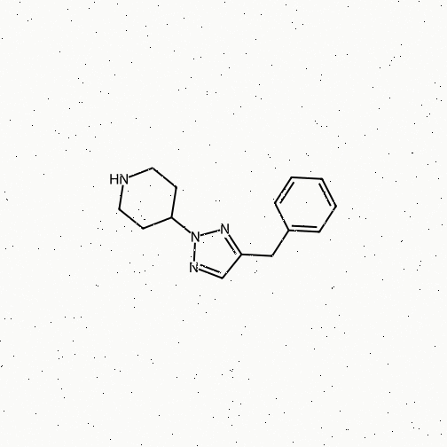 c1ccc(Cc2cnn(C3CCNCC3)n2)cc1